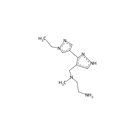 CCn1cc(-c2n[nH]cc2CN(C)CCN)cn1